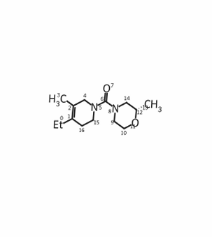 CCC1=C(C)CN(C(=O)N2CCO[C@@H](C)C2)CC1